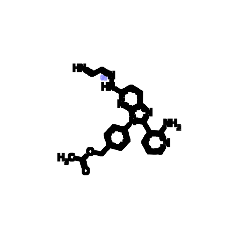 CC(=O)OCc1ccc(-n2c(-c3cccnc3N)nc3ccc(N/N=C\C=N)nc32)cc1